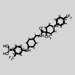 CC1(C(=O)NCC2CCC(Nc3ccc(N(O)O)c(C(F)(F)F)c3)CC2)CCN(c2ccc(C(F)(F)F)cc2)CC1